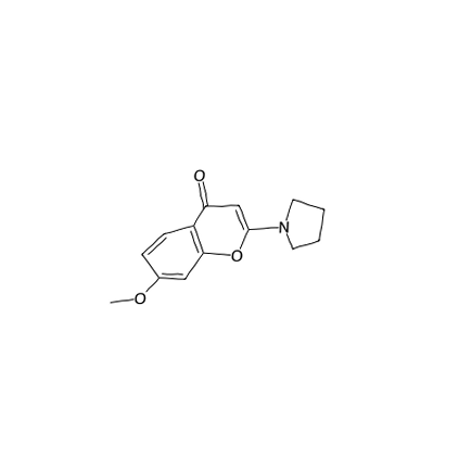 COc1ccc2c(=O)cc(N3CCCC3)oc2c1